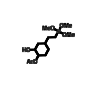 CO[Si](CCC1CCC(OC(C)=O)C(O)C1)(OC)OC